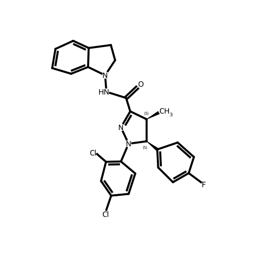 C[C@@H]1C(C(=O)NN2CCc3ccccc32)=NN(c2ccc(Cl)cc2Cl)[C@@H]1c1ccc(F)cc1